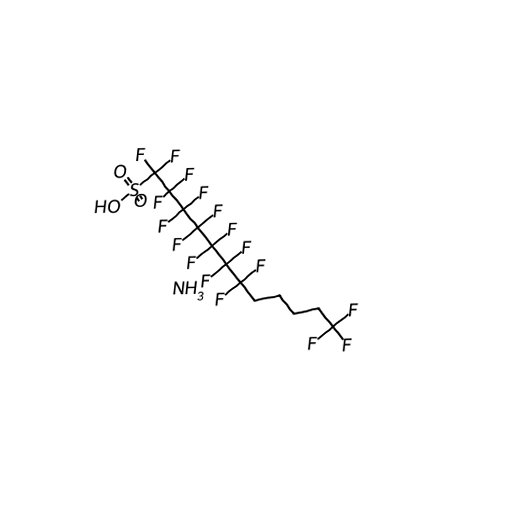 N.O=S(=O)(O)C(F)(F)C(F)(F)C(F)(F)C(F)(F)C(F)(F)C(F)(F)C(F)(F)CCCCC(F)(F)F